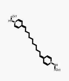 CCCCCCCCNN1C=CC(=CCCCCCCCCC=C2C=CN(NCCCCCCCC)C=C2)C=C1